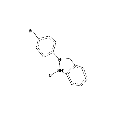 [O-][NH+]1c2ccccc2CN1c1ccc(Br)cc1